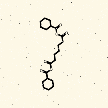 O=C(CCCCCC(=O)OC(=O)C1CCCCC1)OC(=O)C1CCCCC1